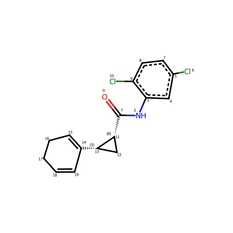 O=C(Nc1cc(Cl)ccc1Cl)[C@@H]1C[C@@H]1C1=CCCC=C1